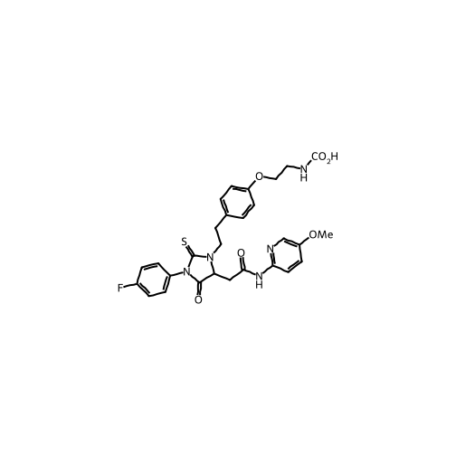 COc1ccc(NC(=O)CC2C(=O)N(c3ccc(F)cc3)C(=S)N2CCc2ccc(OCCNC(=O)O)cc2)nc1